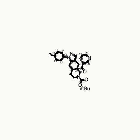 CC(C)(C)OC(=O)N1CCC2=Cc3c(cnn3-c3ccc(F)cc3)C[C@]2(C(=O)c2cnccn2)C1